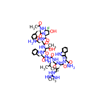 CNC(=N)NCCC[C@H](NC(=O)[C@H](CC(C)C)NC(=O)NNC(=O)[C@H](Cc1ccccc1)NC(=O)[C@@H](NC(=O)[C@H](CC(N)=O)NC(=O)[C@@H]1C[C@](O)(F)CN1C(=O)[C@H](Cc1ccccc1)NC(C)=O)[C@@H](C)O)C(=O)N[C@@H](Cc1c[nH]c2ccccc12)C(N)=O